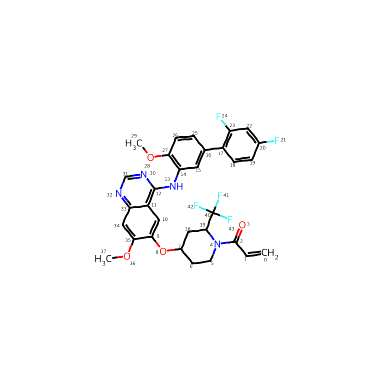 C=CC(=O)N1CCC(Oc2cc3c(Nc4cc(-c5ccc(F)cc5F)ccc4OC)ncnc3cc2OC)CC1C(F)(F)F